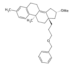 CO[C@H]1CC2=C3CCc4cc(C)ccc4[C@]3(C)CC[C@@]2(CCCOCc2ccccc2)C1